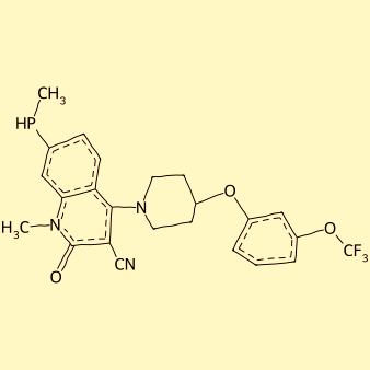 CPc1ccc2c(N3CCC(Oc4cccc(OC(F)(F)F)c4)CC3)c(C#N)c(=O)n(C)c2c1